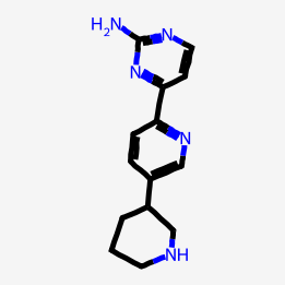 Nc1nccc(-c2ccc(C3CCCNC3)cn2)n1